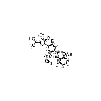 CCn1c([C@H](O)C(F)(F)F)nn(-c2cc(O[C@@H](C)C(F)(F)F)c(C(=O)Nc3c(C)ccnc3OC)cc2F)c1=O